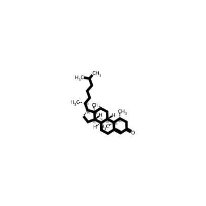 CC(C)CCC[C@@H](C)[C@H]1CC[C@H]2[C@@H]3CCC4=CC(=O)C[C@@H](C)[C@]4(C)[C@H]3CC[C@]12C